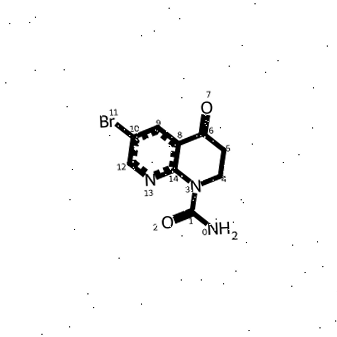 NC(=O)N1CCC(=O)c2cc(Br)cnc21